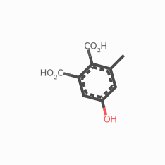 Cc1cc(O)cc(C(=O)O)c1C(=O)O